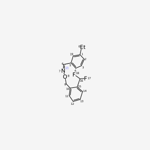 CCc1cccc(/[C]=N\OCc2ccccc2C(F)F)c1